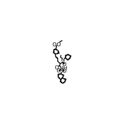 CCOC(=O)c1ccc(C=CCC(C(=O)NS(=O)(=O)c2ccc3ccccc3c2)C(=O)N(CC)c2ccccc2)cc1